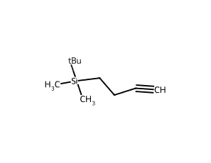 C#CCC[Si](C)(C)C(C)(C)C